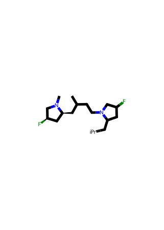 CC(C)CC1CC(F)CN1CCC(C)C[C@H]1C[C@@H](F)CN1C